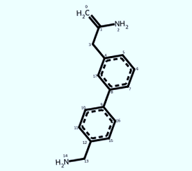 C=C(N)Cc1cccc(-c2ccc(CN)cc2)c1